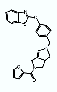 O=C(c1ccco1)N1CC2=CN(Cc3ccc(Oc4nc5ccccc5s4)cc3)CC2C1